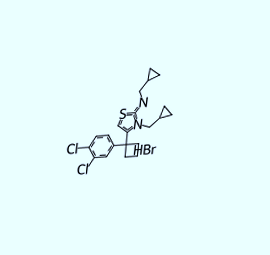 Br.Clc1ccc(C2(c3cs/c(=N\CC4CC4)n3CC3CC3)CCC2)cc1Cl